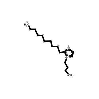 [CH2]CCC[n+]1cc[nH]c1CCCCCCCCCC